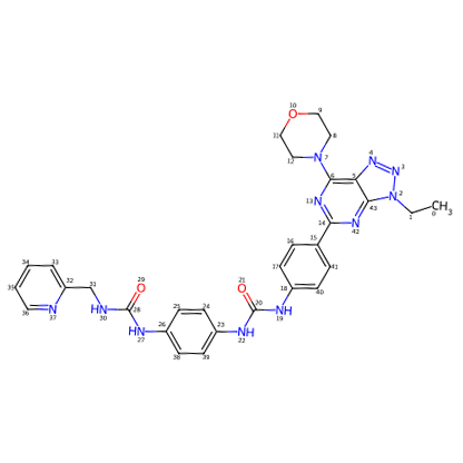 CCn1nnc2c(N3CCOCC3)nc(-c3ccc(NC(=O)Nc4ccc(NC(=O)NCc5ccccn5)cc4)cc3)nc21